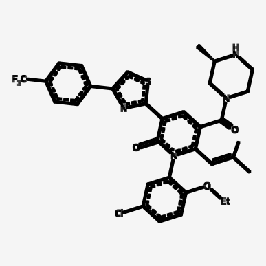 CCOc1ccc(Cl)cc1-n1c(C=C(C)C)c(C(=O)N2CCN[C@H](C)C2)cc(-c2nc(-c3ccc(C(F)(F)F)cc3)cs2)c1=O